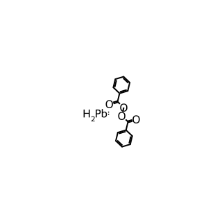 O=C(OOC(=O)c1ccccc1)c1ccccc1.[PbH2]